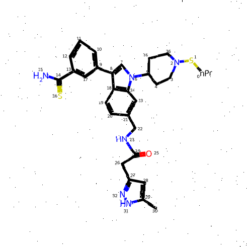 CCCSN1CCC(n2cc(-c3cccc(C(N)=S)c3)c3ccc(CNC(=O)Cc4cc(C)[nH]n4)cc32)CC1